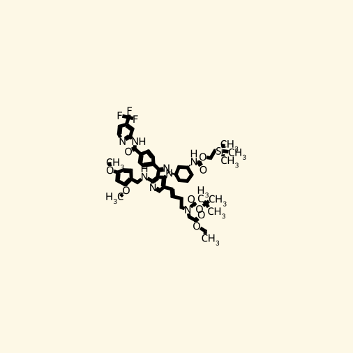 CCOC(=O)CN(CC/C=C/c1cnc(NCc2ccc(OC)cc2OC)c2c(-c3ccc(C(=O)Nc4cc(C(F)(F)F)ccn4)cc3)nn([C@@H]3CCC[C@@H](NC(=O)OCC[Si](C)(C)C)C3)c12)C(=O)OC(C)(C)C